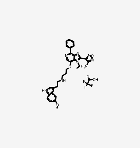 CCn1c(-c2nonc2N)nc2c(-c3ccccc3)ncc(OCCCNCCc3c[nH]c4ccc(OC)cc34)c21.O=C(O)C(F)(F)F